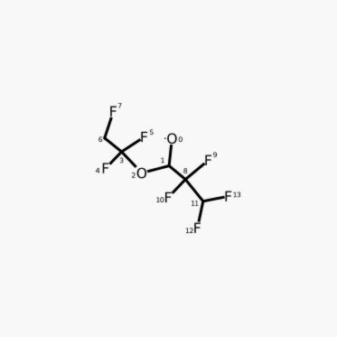 [O]C(OC(F)(F)CF)C(F)(F)C(F)F